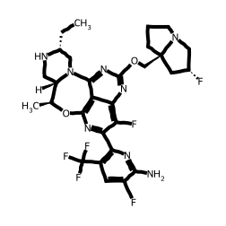 CC[C@@H]1CN2c3nc(OC[C@@]45CCCN4C[C@H](F)C5)nc4c(F)c(-c5nc(N)c(F)cc5C(F)(F)F)nc(c34)O[C@@H](C)[C@@H]2CN1